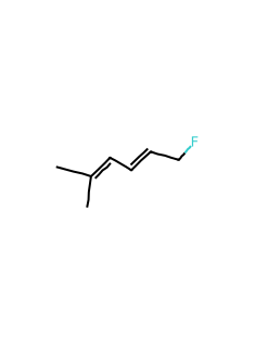 CC(C)=CC=CCF